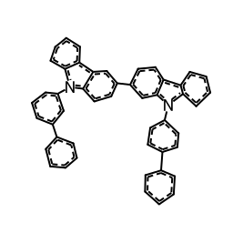 c1ccc(-c2ccc(-n3c4ccccc4c4ccc(-c5ccc6c(c5)c5ccccc5n6-c5cccc(-c6ccccc6)c5)cc43)cc2)cc1